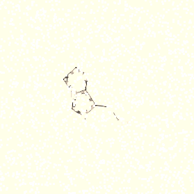 CC(C)Sc1ncn2ccsc12